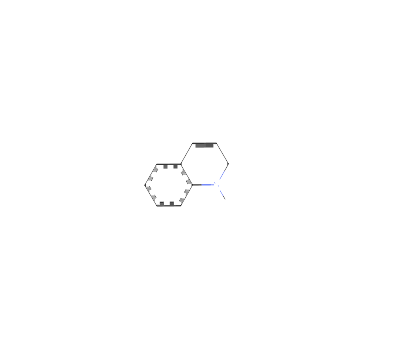 [CH2]N1CC=Cc2ccccc21